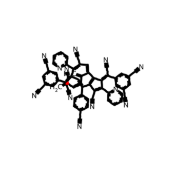 C=C(C#N)/C=C\C(=C)\C1=C/C(C#N)=C(c2ccccn2)\C(=C(\C#N)c2cc(C#N)cc(C#N)c2)\C=C(/c2ccc(C#N)cc2)C2=C1/C(=C(\C#N)c1cc(C#N)cc(C#N)c1)C(c1ccccn1)=C2C#N